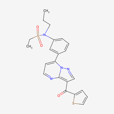 CCCN(c1cccc(-c2ccnc3c(C(=O)c4cccs4)cnn23)c1)S(=O)(=O)CC